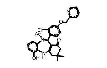 CC(=O)N1c2cccc(O)c2NC2=C(C(=O)CC(C)(C)C2)C1c1ccc(OCc2ccccn2)cc1Cl